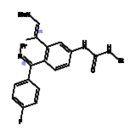 CCNC(=O)Nc1ccc(/C(=N\C(C)C)c2ccc(F)cc2)c(/C(C)=C/NC)c1